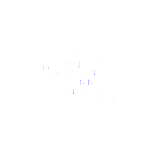 Cc1nc2cc(-c3ccccc3)nn2c(-c2cccc3cccnc23)c1C(OC(C)(C)C)C(=O)O